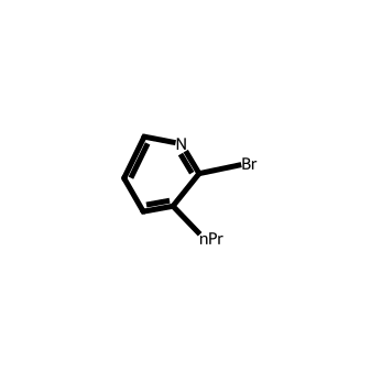 CCCc1cccnc1Br